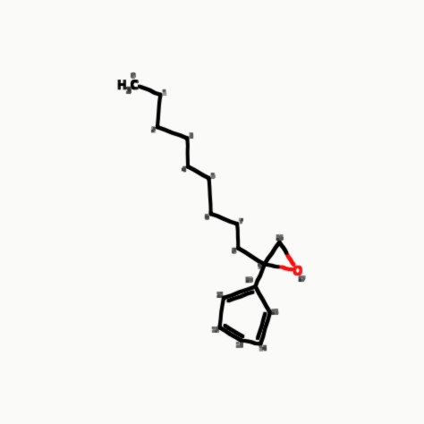 CCCCCCCCCC1(c2ccccc2)CO1